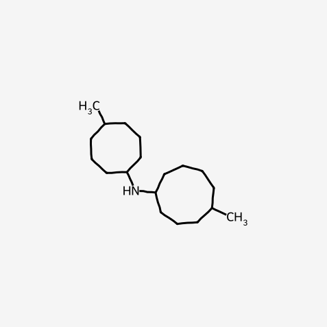 CC1CCCCC(NC2CCCC(C)CCC2)CCC1